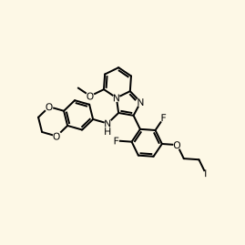 COc1cccc2nc(-c3c(F)ccc(OCCI)c3F)c(Nc3ccc4c(c3)OCCO4)n12